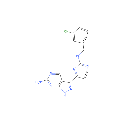 Nc1ncc2c(-c3ccnc(NCc4cccc(Cl)c4)n3)n[nH]c2n1